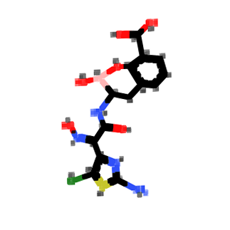 Nc1nc(C(=NO)C(=O)NC2Cc3cccc(C(=O)O)c3OB2O)c(Cl)s1